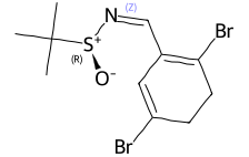 CC(C)(C)[S@+]([O-])/N=C\C1=C(Br)CCC(Br)=C1